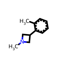 Cc1ccccc1C1CN(C)C1